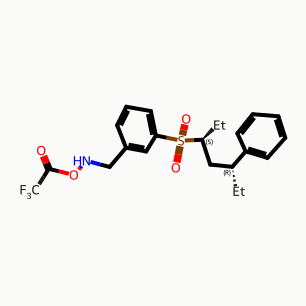 CC[C@H](C[C@H](CC)S(=O)(=O)c1cccc(CNOC(=O)C(F)(F)F)c1)c1ccccc1